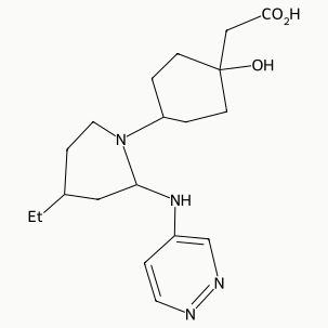 CCC1CCN(C2CCC(O)(CC(=O)O)CC2)C(Nc2ccnnc2)C1